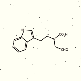 O=CCN(CCc1c[nH]c2ccccc12)C(=O)O